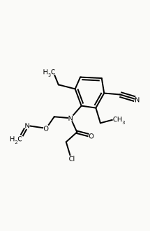 C=NOCN(C(=O)CCl)c1c(CC)ccc(C#N)c1CC